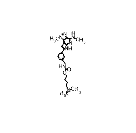 CNc1nc2[nH]c(-c3cccc(CNC(=O)OCCCCN(C)C)c3)cc2c2c1ncn2C